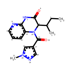 CCC(C)C1C(=O)Nc2ncccc2N1C(=O)c1cnn(C)c1